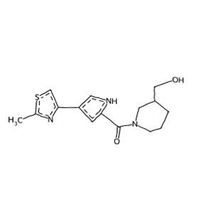 Cc1nc(-c2c[nH]c(C(=O)N3CCCC(CO)C3)c2)cs1